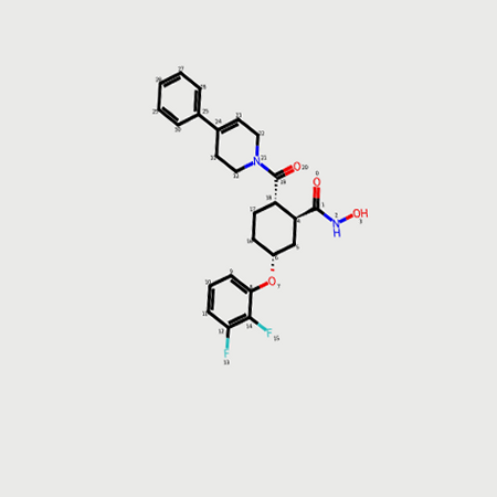 O=C(NO)[C@H]1C[C@H](Oc2cccc(F)c2F)CC[C@@H]1C(=O)N1CC=C(c2ccccc2)CC1